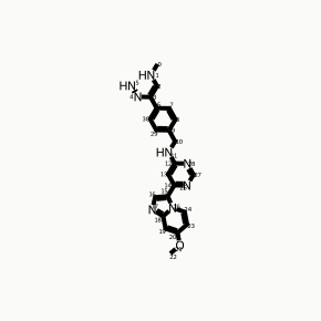 CN/C=C(\N=N)c1ccc(CNc2cc(-c3cnc4cc(OC)ccn34)ncn2)cc1